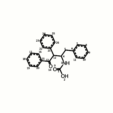 O=C(O)NC(Cc1ccccc1)C(C(=O)c1ccccc1)c1ccccc1